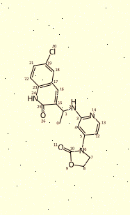 CC(Nc1cc(N2CCOC2=O)ccn1)c1cc2cc(Cl)ccc2[nH]c1=O